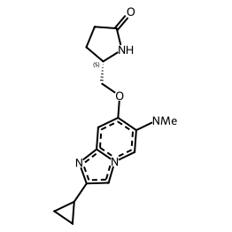 CNc1cn2cc(C3CC3)nc2cc1OC[C@@H]1CCC(=O)N1